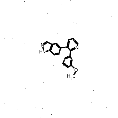 COc1cccc(-c2ncccc2-c2ccc3[nH]ncc3c2)c1